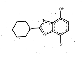 Oc1ccc(Br)c2oc(N3CCCCC3)nc12